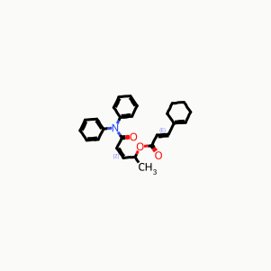 CC(/C=C\C(=O)N(c1ccccc1)c1ccccc1)OC(=O)/C=C/C1=CCCCC1